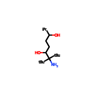 CC(C)C(O)CCC(O)C(N)(C(C)(C)C)C(C)(C)C